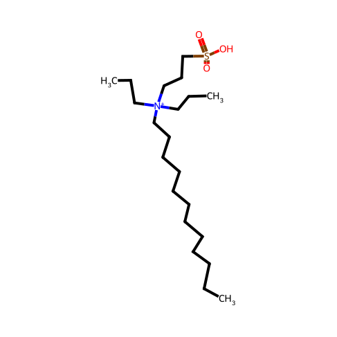 CCCCCCCCCCCC[N+](CCC)(CCC)CCCS(=O)(=O)O